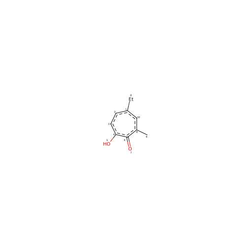 CCc1ccc(O)c(=O)c(C)c1